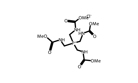 COC(=O)NC[P+](CNC(=O)OC)(CNC(=O)OC)CNC(=O)OC.[Cl-]